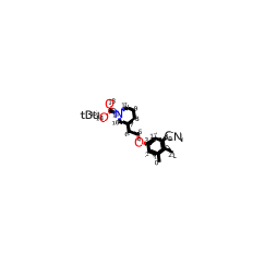 Cc1cc(OCCC2CCCN(C(=O)OC(C)(C)C)C2)cc(C#N)c1C